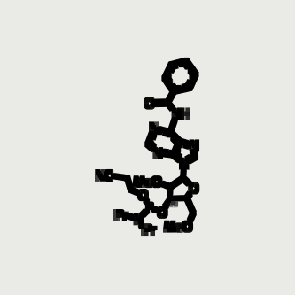 COCC1OC(n2cnc3c(NC(=O)c4ccccc4)ncnc32)C(OC)[C@@H]1OP(OCCC#N)N(C(C)C)C(C)C